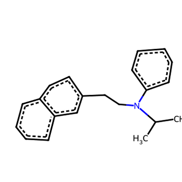 CC(C)N(CCc1ccc2ccccc2c1)c1ccccc1